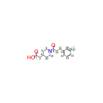 O=C(O)CC1CCN(C(=O)CCc2cccc(F)c2)CC1